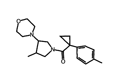 Cc1ccc(C2(C(=O)N3CC(C)C(N4CCOCC4)C3)CC2)cc1